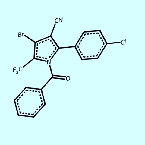 N#Cc1c(Br)c(C(F)(F)F)n(C(=O)c2ccccc2)c1-c1ccc(Cl)cc1